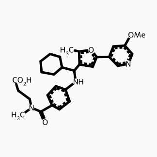 COc1cncc(-c2cc(C(Nc3ccc(C(=O)N(C)CCC(=O)O)cc3)C3CCCCC3)c(C)o2)c1